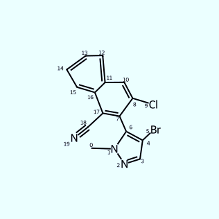 Cn1ncc(Br)c1-c1c(Cl)cc2ccccc2c1C#N